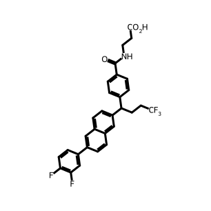 O=C(O)CCNC(=O)c1ccc(C(CCC(F)(F)F)c2ccc3cc(-c4ccc(F)c(F)c4)ccc3c2)cc1